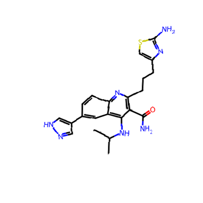 CC(C)Nc1c(C(N)=O)c(CCCc2csc(N)n2)nc2ccc(-c3cn[nH]c3)cc12